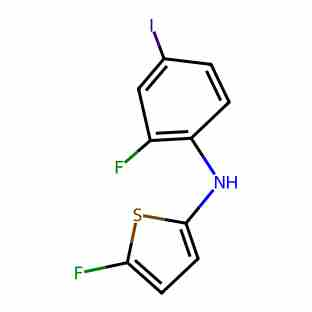 Fc1ccc(Nc2ccc(I)cc2F)s1